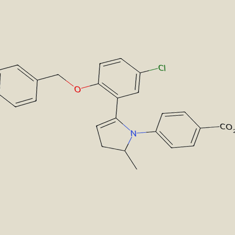 CC1CC=C(c2cc(Cl)ccc2OCc2ccccc2)N1c1ccc(C(=O)O)cc1